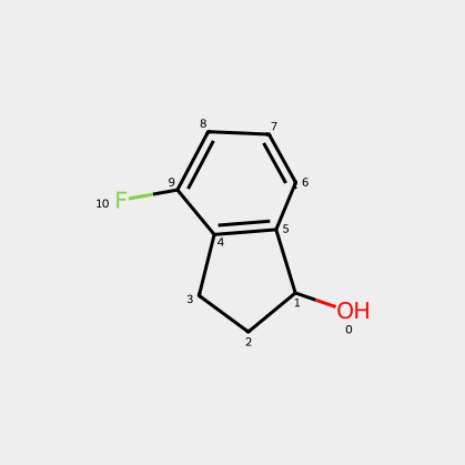 OC1CCc2c1[c]ccc2F